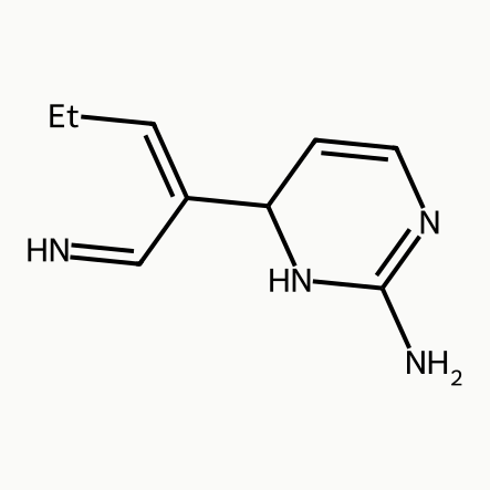 CC/C=C(\C=N)C1C=CN=C(N)N1